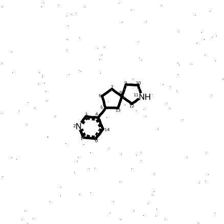 c1cncc(C2CCC3(CCNC3)C2)c1